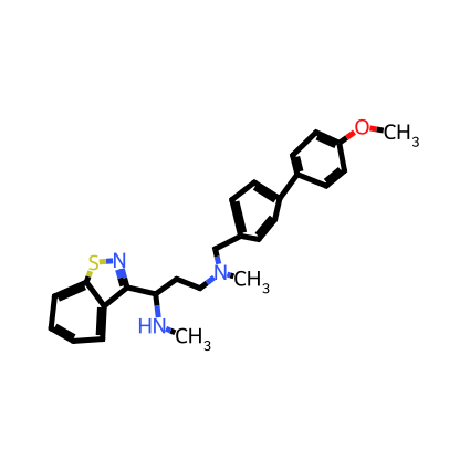 CNC(CCN(C)Cc1ccc(-c2ccc(OC)cc2)cc1)c1nsc2ccccc12